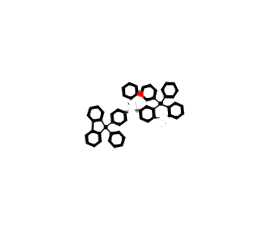 c1ccc(N(c2ccc(C3(c4ccccc4)c4ccccc4-c4ccccc43)cc2)c2ccc3c(c2)C(c2ccccc2)(c2ccccc2)c2ccccc2S3)cc1